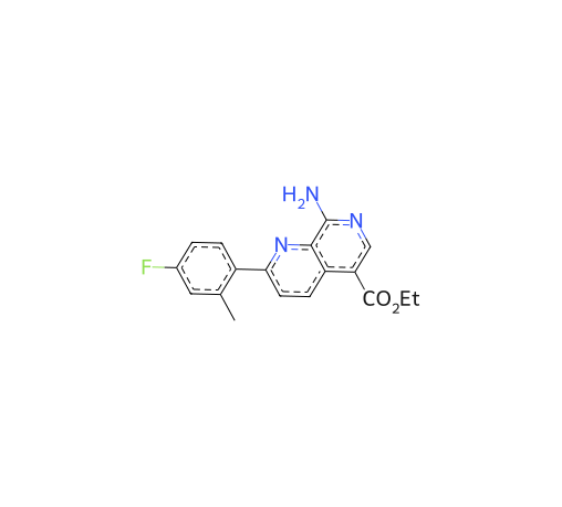 CCOC(=O)c1cnc(N)c2nc(-c3ccc(F)cc3C)ccc12